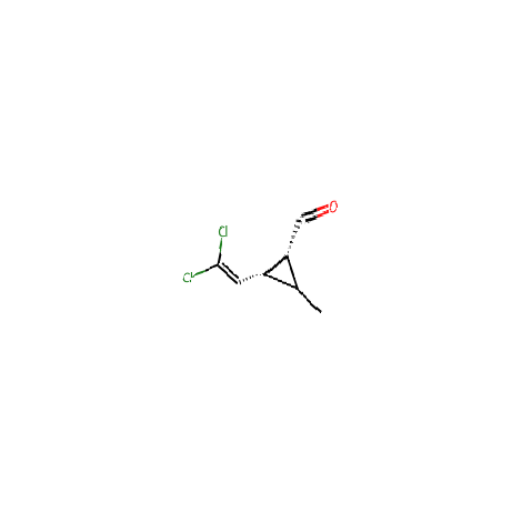 CC1[C@@H](C=O)[C@H]1C=C(Cl)Cl